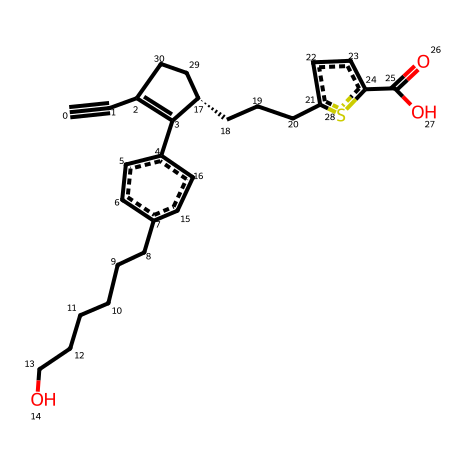 C#CC1=C(c2ccc(CCCCCCO)cc2)[C@@H](CCCc2ccc(C(=O)O)s2)CC1